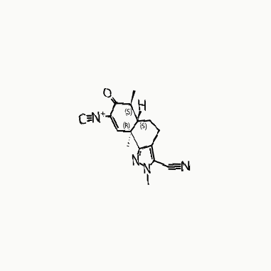 [C-]#[N+]C1=C[C@]2(C)c3nn(C)c(C#N)c3CC[C@H]2[C@H](C)C1=O